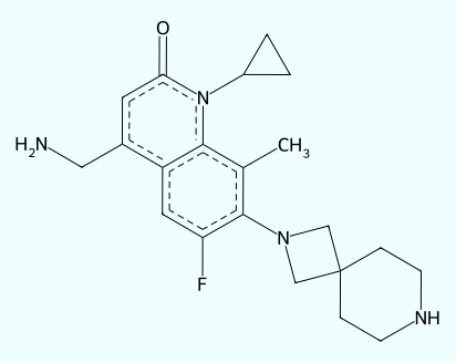 Cc1c(N2CC3(CCNCC3)C2)c(F)cc2c(CN)cc(=O)n(C3CC3)c12